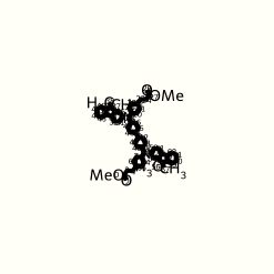 COC(=O)CCc1ccc(N(c2ccc(-c3ccc(N(c4ccc(CCC(=O)OC)cc4)c4ccc5c(c4)C(C)(C)c4ccccc4-5)cc3)cc2)c2ccc3c(c2)C(C)(C)c2ccccc2-3)cc1